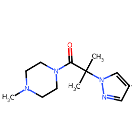 CN1CCN(C(=O)C(C)(C)n2c[c]cn2)CC1